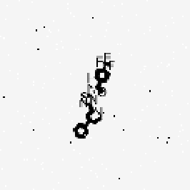 O=C(Nc1nc(-c2cc(-c3ccccc3)ccn2)ns1)c1ccc(C(F)(F)F)cc1